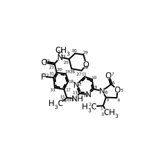 CC(C)C1COC(=O)N1c1ccnc(N[C@@H](C)c2ccc(C(=O)N(C)C3CCOCC3)c(F)c2)n1